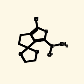 C[S+]([O-])c1sc(Cl)c2c1C1(CC2)OCCO1